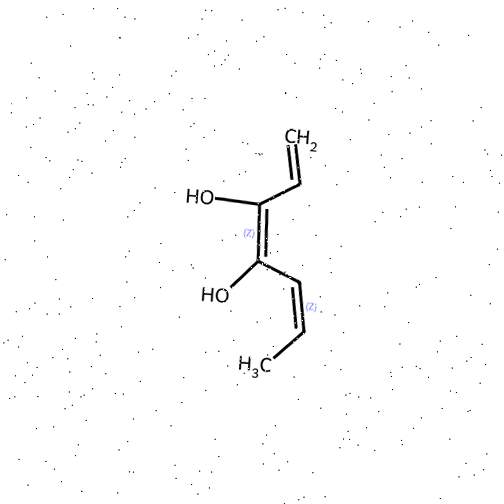 C=C/C(O)=C(O)\C=C/C